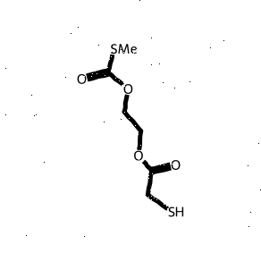 CSC(=O)OCCOC(=O)CS